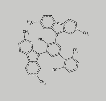 Cc1ccc2c3ccc(C)cc3n(-c3cc(-c4c(C#N)cccc4C(F)(F)F)cc(-n4c5cc(C)ccc5c5ccc(C)cc54)c3C#N)c2c1